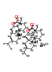 CC(C)C1=CC2=CCC3[C@](C)(C(=O)[O-])CCC[C@]3(C)[C@H]2CC1.CC(C)C1=CC2=CCC3[C@](C)(C(=O)[O-])CCC[C@]3(C)[C@H]2CC1.[Zn+2]